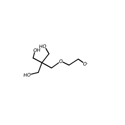 [O]CCOCC(CO)(CO)CO